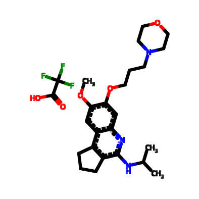 COc1cc2c3c(c(NC(C)C)nc2cc1OCCCN1CCOCC1)CCC3.O=C(O)C(F)(F)F